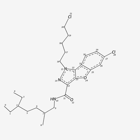 CCC(CC)CCC(C)CNC(=O)c1nn(CCCCCCl)c2c1oc1cc(Cl)ccc12